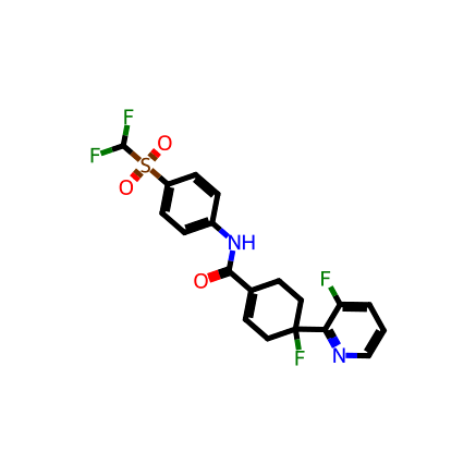 O=C(Nc1ccc(S(=O)(=O)C(F)F)cc1)C1=CCC(F)(c2ncccc2F)CC1